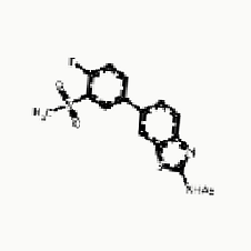 CC(=O)Nc1nc2ccc(-c3ccc(F)c(S(C)(=O)=O)c3)cc2s1